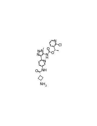 C[C@@H](OC(=O)Nc1c(-c2ccc(NC(=O)[C@H]3C[C@@H](N)C3)cn2)nnn1C)c1cccnc1Cl